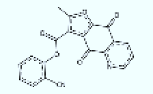 Cc1oc2c(c1C(=O)Oc1ccccc1C#N)C(=O)c1ncccc1C2=O